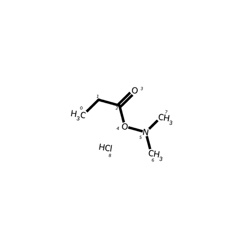 CCC(=O)ON(C)C.Cl